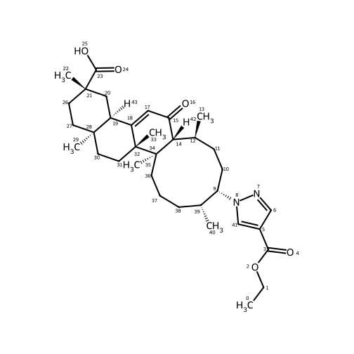 CCOC(=O)c1cnn([C@H]2CC[C@H](C)[C@H]3C(=O)C=C4[C@@H]5C[C@@](C)(C(=O)O)CC[C@]5(C)CC[C@@]4(C)[C@]3(C)CCC[C@H]2C)c1